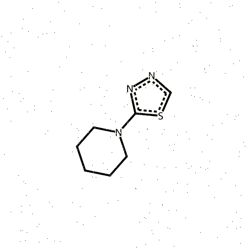 c1nnc(N2CCCCC2)s1